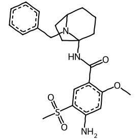 COc1cc(N)c(S(C)(=O)=O)cc1C(=O)NC12CCCC(CC1)N2Cc1ccccc1